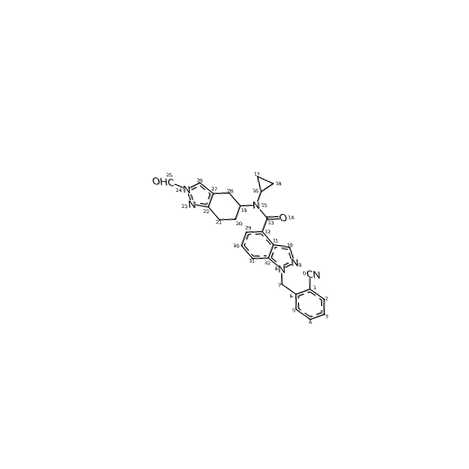 N#Cc1ccccc1Cn1ncc2c(C(=O)N(C3CC3)C3CCc4nn(C=O)cc4C3)cccc21